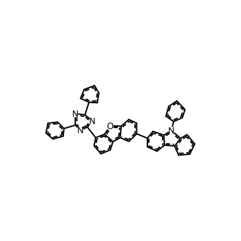 c1ccc(-c2nc(-c3ccccc3)nc(-c3cccc4c3oc3ccc(-c5ccc6c7ccccc7n(-c7ccccc7)c6c5)cc34)n2)cc1